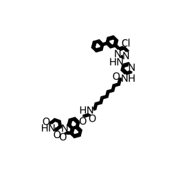 O=C(COc1ccc2c3c(cccc13)C(=O)N2C1CCC(=O)NC1=O)NCCCCCCCCCC(=O)Nc1cncc(Nc2ncc(Cl)c(-c3cccc(-c4ccccc4)c3)n2)c1